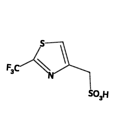 O=S(=O)(O)Cc1csc(C(F)(F)F)n1